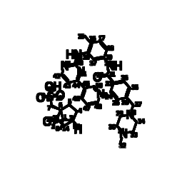 CC1(C)[C@@H]2CC[C@@]1(CS(=O)(=O)O)C(=O)C2.Cc1ccc(NC(=O)c2ccc(CN3CCN(C)CC3)cc2)cc1Nc1nccc(-c2cccnc2)n1